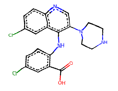 O=C(O)c1cc(Cl)ccc1Nc1c(N2CCNCC2)cnc2ccc(Cl)cc12